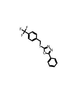 FC(F)(F)c1ccc(CSc2nnc(-c3ccccc3)o2)cc1